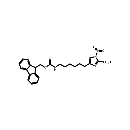 O=C(NCCCCCCc1cn(P(=O)=O)c(C(=O)O)n1)OCC1c2ccccc2-c2ccccc21